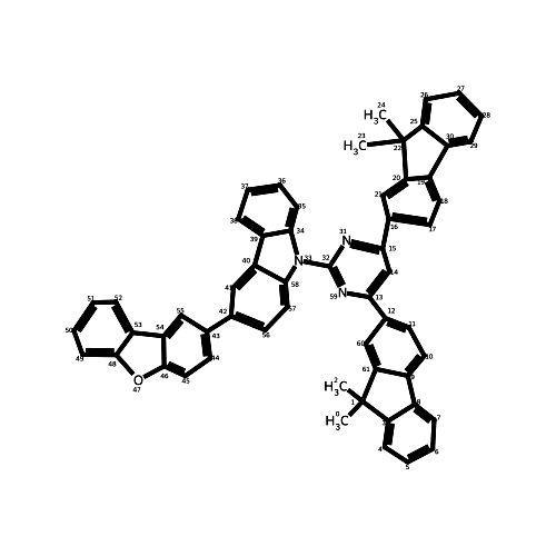 CC1(C)c2ccccc2-c2ccc(-c3cc(-c4ccc5c(c4)C(C)(C)c4ccccc4-5)nc(-n4c5ccccc5c5cc(-c6ccc7oc8ccccc8c7c6)ccc54)n3)cc21